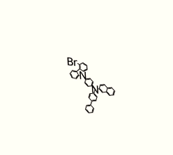 Brc1cccc2c1c1ccccc1n2-c1ccc(N(c2ccc(-c3ccccc3)cc2)c2ccc3ccccc3c2)cc1